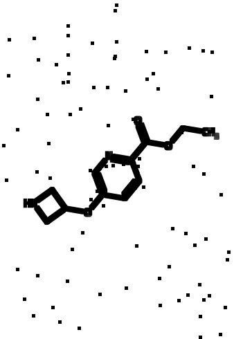 CCOC(=O)c1ccc(OC2CNC2)cn1